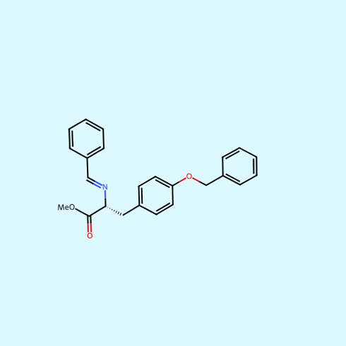 COC(=O)[C@@H](Cc1ccc(OCc2ccccc2)cc1)N=Cc1ccccc1